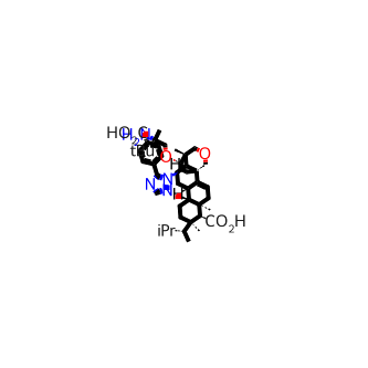 CC(C)[C@@H](C)[C@@]1(C)CC[C@]2(C)[C@H]3CC[C@@H]4[C@@]5(COC[C@@]4(C)[C@@H](OC[C@](C)(N)C(C)(C)C)[C@H](n4ncnc4-c4ccc(C(=O)O)cc4)C5)C3=CC[C@@]2(C)[C@@H]1C(=O)O